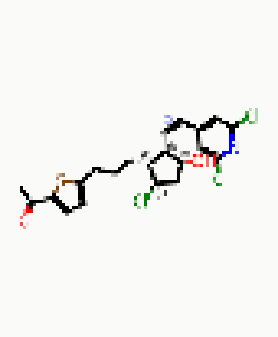 CC(=O)c1ccc(CCC[C@@H]2[C@@H](/C=C\c3cc(Cl)nc(Cl)c3)[C@H](O)C[C@H]2Cl)s1